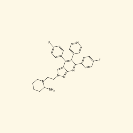 NC1CCCCN1CCn1cc2c(-c3ccc(F)cc3)c(-c3ccncc3)c(-c3ccc(F)cc3)nc2n1